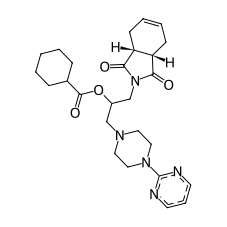 O=C(OC(CN1CCN(c2ncccn2)CC1)CN1C(=O)[C@H]2CC=CC[C@H]2C1=O)C1CCCCC1